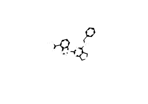 NC(=O)c1cccc2c1nnn2-c1nc2c(c(NCc3ccccc3)n1)COC2